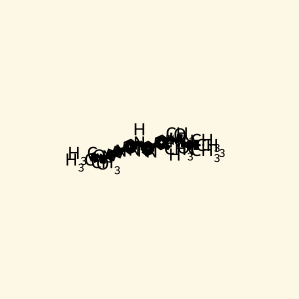 Cc1cc(-c2cc(Nc3ccc(N4CC5(CN(C(=O)OC(C)(C)C)C5)C4)cn3)ncn2)ccc1[C@@H](C)NC(=O)c1nc(C(C)(C)C)no1